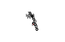 Cc1cccc(Nc2nnc(-c3ccc(Oc4ccnc5cc(OCc6ccccc6)ccc45)cc3)[nH]2)c1